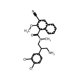 COc1c(C#N)cc2ccccc2c1C(=O)N(C)CC(CN)c1ccc(Cl)c(Cl)c1